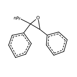 CCCC1(c2ccccc2)OC1c1ccccc1